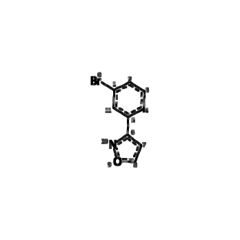 Brc1cc[c]c(-c2ccon2)c1